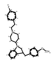 COc1ccc(CC2CN(C3CCN(CCc4ccc(F)cc4)CC3)c3ccccc32)cc1